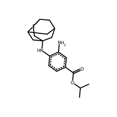 CC(C)OC(=O)c1ccc(NC23CCC4CC(CC(C4)C2)C3)c(N)c1